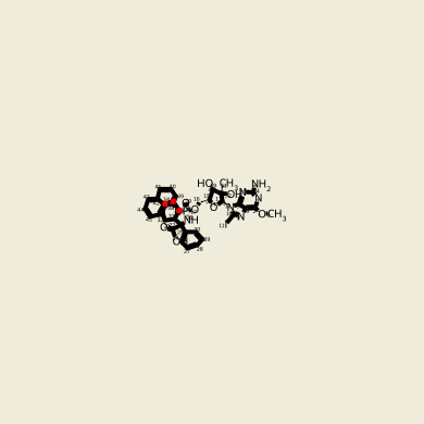 COc1nc(N)nc2c1nc(I)n2[C@@H]1O[C@H](COP(=O)(NC(C(=O)O)(c2ccccc2)C2CCCCC2)Oc2cccc3ccccc23)[C@@H](O)[C@@]1(C)O